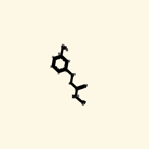 CC(C)NC(=O)COc1cccc([N+](=O)[O-])c1